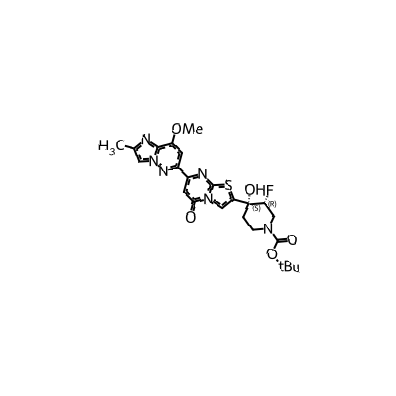 COc1cc(-c2cc(=O)n3cc([C@]4(O)CCN(C(=O)OC(C)(C)C)C[C@H]4F)sc3n2)nn2cc(C)nc12